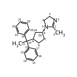 CC1=NCCN1[C@H]1CCC(C(C)(c2ccccc2)c2ccccc2)C1